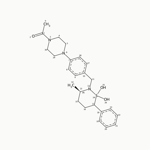 CC(=O)N1CCN(c2ccc(CN3[C@H](C)CCC(c4ccccc4)S3(O)O)cc2)CC1